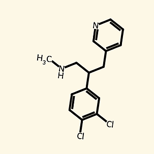 CNCC(Cc1cccnc1)c1ccc(Cl)c(Cl)c1